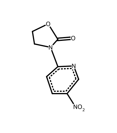 O=C1OCCN1c1ccc([N+](=O)[O-])cn1